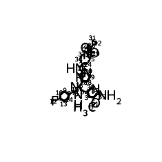 COc1cc(-c2[nH]c(-c3ccc(F)cc3)nc2-c2ccnc(NC3CCN(S(=O)(=O)C4CC4)CC3)n2)cnc1N